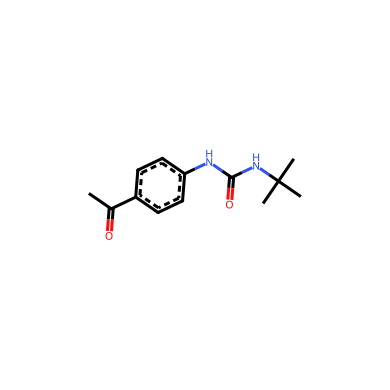 CC(=O)c1ccc(NC(=O)NC(C)(C)C)cc1